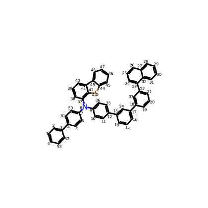 c1ccc(-c2ccc(N(c3ccc(-c4cccc(-c5cccc(-c6cccc7ccccc67)c5)c4)cc3)c3cccc4c3sc3ccccc34)cc2)cc1